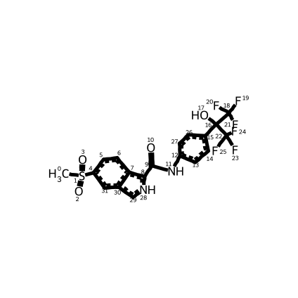 CS(=O)(=O)c1ccc2c(C(=O)Nc3ccc(C(O)(C(F)(F)F)C(F)(F)F)cc3)[nH]cc2c1